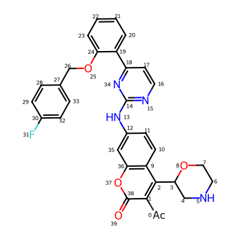 CC(=O)c1c(C2CNCCO2)c2ccc(Nc3nccc(-c4ccccc4OCc4ccc(F)cc4)n3)cc2oc1=O